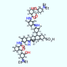 CCN(CC)c1ccc(C(=O)c2ccccc2C(=O)Nc2c(C)cc(C)c(Nc3ccc(C(c4ccc(Nc5c(C)cc(C)c(NC(=O)c6ccccc6C(=O)c6ccc(N(CC)CC)cc6O)c5C)c(C)c4)c4ccc(S(=O)(=O)O)cc4S(=O)(=O)O)cc3C)c2C)c(O)c1